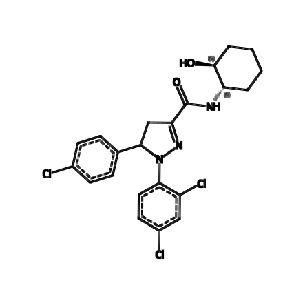 O=C(N[C@H]1CCCC[C@@H]1O)C1=NN(c2ccc(Cl)cc2Cl)C(c2ccc(Cl)cc2)C1